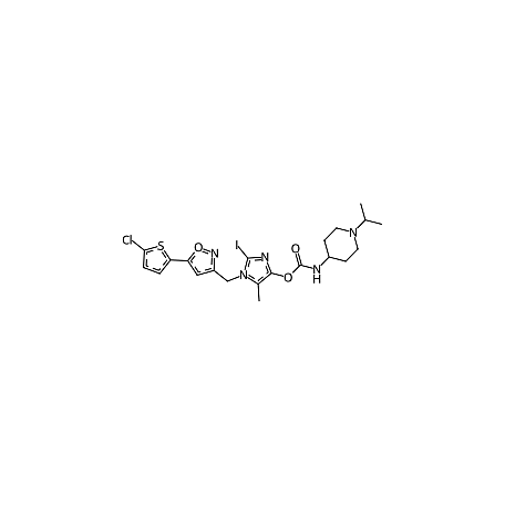 Cc1c(OC(=O)NC2CCN(C(C)C)CC2)nc(I)n1Cc1cc(-c2ccc(Cl)s2)on1